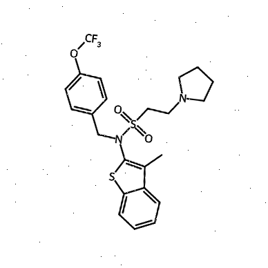 Cc1c(N(Cc2ccc(OC(F)(F)F)cc2)S(=O)(=O)CCN2CCCC2)sc2ccccc12